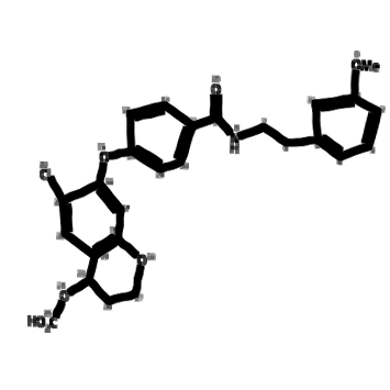 COc1cccc(CCNC(=O)c2ccc(Oc3cc4c(cc3Cl)C(OC(=O)O)CCO4)cc2)c1